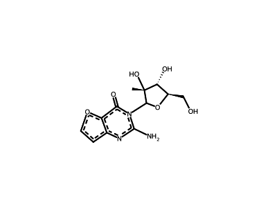 C[C@]1(O)C(n2c(N)nc3ccoc3c2=O)O[C@H](CO)[C@H]1O